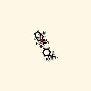 O=C(NC1CCC(O)(C(F)(F)F)CC1)C1CC2CC[C@@H](C1)N2C(=O)O